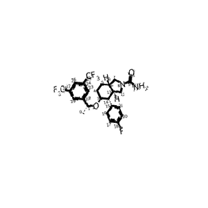 C[C@@H](O[C@H]1CC[C@@H]2CN(C(N)=O)C[C@H]2[C@@H]1c1ccc(F)cc1)c1cc(C(F)(F)F)cc(C(F)(F)F)c1